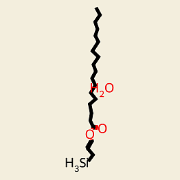 CCCCCCCCCCCCCCCCCC(=O)OC=CC[SiH3].O